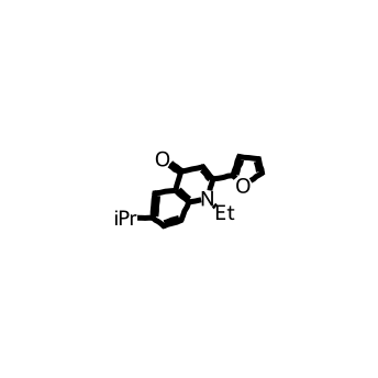 CCn1c(-c2ccco2)cc(=O)c2cc(C(C)C)ccc21